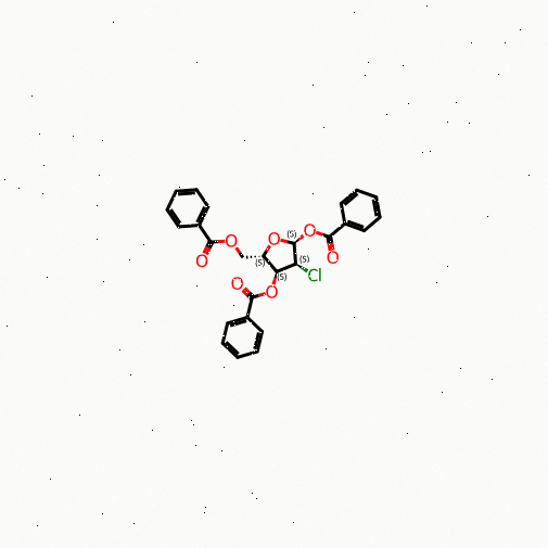 O=C(OC[C@@H]1O[C@@H](OC(=O)c2ccccc2)[C@@H](Cl)[C@H]1OC(=O)c1ccccc1)c1ccccc1